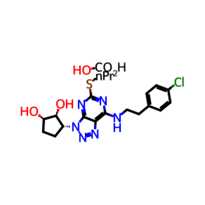 CCCSc1nc(NCCc2ccc(Cl)cc2)c2nnn([C@@H]3CC[C@@H](O)[C@H]3O)c2n1.O=C(O)O